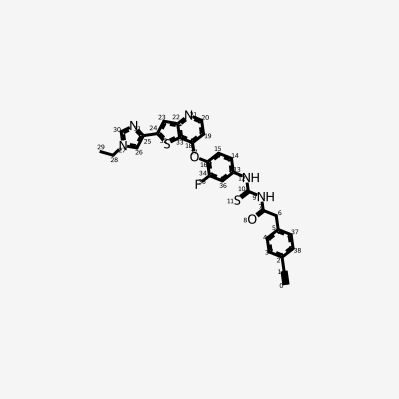 C#Cc1ccc(CC(=O)NC(=S)Nc2ccc(Oc3ccnc4cc(-c5cn(CC)cn5)sc34)c(F)c2)cc1